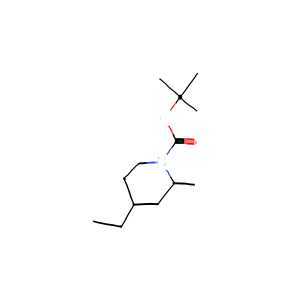 CCC1CCN(C(=O)OC(C)(C)C)C(C)C1